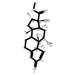 CSC(=O)[C@@]1(O)[C@@H](C)C[C@@]2(C)C3CCC4=CC(=O)C=C[C@]4(C)[C@@]3(F)[C@@H](O)C[C@@]21C